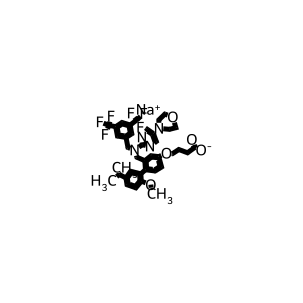 COc1ccc(C(C)C)cc1-c1ccc(OCCCC(=O)[O-])cc1CN(Cc1cc(C(F)(F)F)cc(C(F)(F)F)c1)c1ncc(N2CCOCC2)cn1.[Na+]